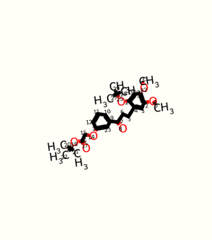 COc1cc(CCC(=O)c2cccc(OCC(=O)OC(C)(C)C)c2)c(OC(C)(C)C)cc1OC